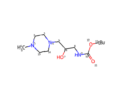 CN1CCN(CC(O)CNC(=O)OC(C)(C)C)CC1